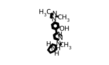 Cc1cn(-c2ccc(-c3ccc(N(C)[C@H]4C[C@H]5CC[C@@H](C4)N5)nn3)c(O)c2)c(C)n1